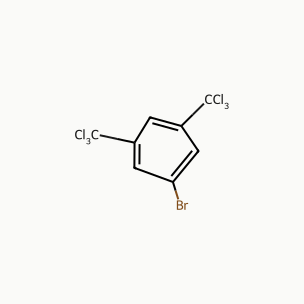 ClC(Cl)(Cl)c1cc(Br)cc(C(Cl)(Cl)Cl)c1